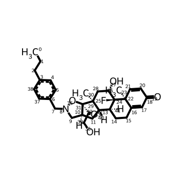 CCCc1ccc(CN2C[C@@H]3C[C@H]4[C@@H]5CCC6=CC(=O)C=C[C@]6(C)[C@@]5(F)[C@@H](O)C[C@]4(C)[C@]3(C(=O)CO)O2)cc1